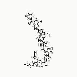 Cn1c(-c2cn(-c3cc4[nH]cc(C(=O)N5CCNCC5)c4cn3)nc2C(F)(F)F)cnc1C(=O)Nc1ccc(C(=O)N2CCN(C(=O)C3CC[N+](CC(=O)O)(CC4CNC4)CC3)CC2)c(Cl)c1